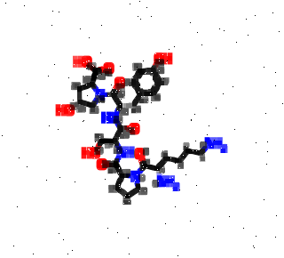 NCCCC[C@H](N)C(=O)N1CCC[C@H]1C(=O)N[C@@H](CO)C(=O)N[C@@H](Cc1ccc(O)cc1)C(=O)N1C[C@H](O)C[C@H]1C(=O)O